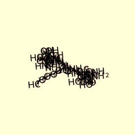 C#CCOCCOCCOCCOCCC(=O)N(CC(=O)NCCNC(=O)CO[C@@H]([C@@H]1OC(C(=O)O)=C[C@H](NC(=N)N)[C@H]1NC(C)=O)[C@H](O)CO)CC(=O)NCCNC(=O)CO[C@@H]([C@@H]1OC(C(=O)O)=C[C@H](NC(=N)N)[C@H]1NC(C)=O)[C@H](O)CO